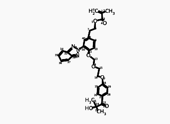 C=C(C)C(=O)OCCc1ccc(OCOCCOc2ccc(C(=O)C(C)(C)O)cc2)c(-n2nc3ccccc3n2)c1